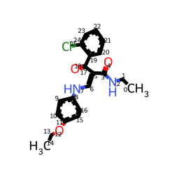 CCNC(=O)/C(=C/Nc1ccc(OCC)cc1)C(=O)c1ccccc1Cl